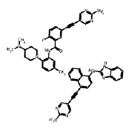 CN(C)C1CCN(c2ccc(C(F)(F)F)cc2NC(=O)c2cc(C#Cc3cnc(N)nc3)ccc2F)CC1.Nc1ncc(C#Cc2ccc(Nc3nc4ccccc4[nH]3)c3ccccc23)cn1